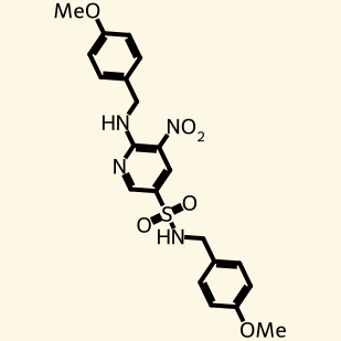 COc1ccc(CNc2ncc(S(=O)(=O)NCc3ccc(OC)cc3)cc2[N+](=O)[O-])cc1